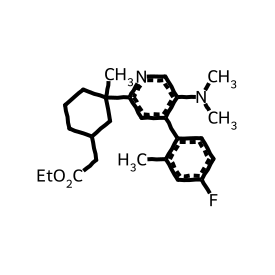 CCOC(=O)CC1CCCC(C)(c2cc(-c3ccc(F)cc3C)c(N(C)C)cn2)C1